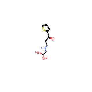 O=C(CCNCC(O)O)c1cccs1